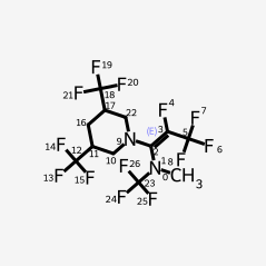 CN(/C(=C(/F)C(F)(F)F)N1CC(C(F)(F)F)CC(C(F)(F)F)C1)C(F)(F)F